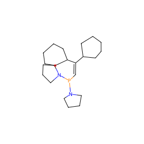 C(=C(C1CCCCC1)C1CCCCC1)P(N1CCCC1)N1CCCC1